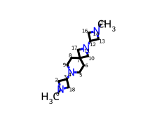 CN1CC(N2CCC3(CC2)CN(C2CN(C)C2)C3)C1